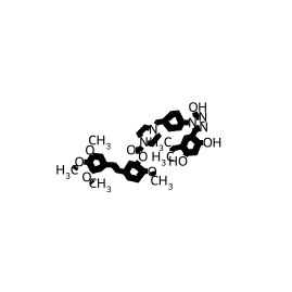 COc1ccc(C=Cc2cc(OC)c(OC)c(OC)c2)cc1OC(=O)N1CCN(Cc2ccc(-n3c(O)nnc3-c3cc(C(C)C)c(O)cc3O)cc2)CC1